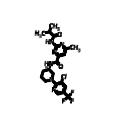 Cc1cc(C(=O)N[C@@H]2CCCN(c3ncc(C(F)(F)F)cc3Cl)C2)nc(NC(=O)C(C)C)n1